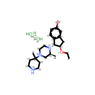 CCO[C@@H]1Cc2cc(Br)ccc2[C@H]1N1CCN(C2(C)CCNCC2)C[C@@H]1C.Cl.Cl.Cl